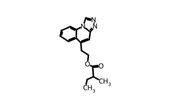 CCC(C)C(=O)OCCc1cc2nncn2c2ccccc12